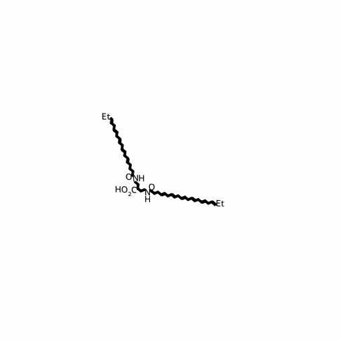 CCC=CCC=CCC=CCC=CCC=CCC=CCCC(=O)NCCC(CCNC(=O)CCCC=CCC=CCC=CCC=CCC=CCC)C(=O)O